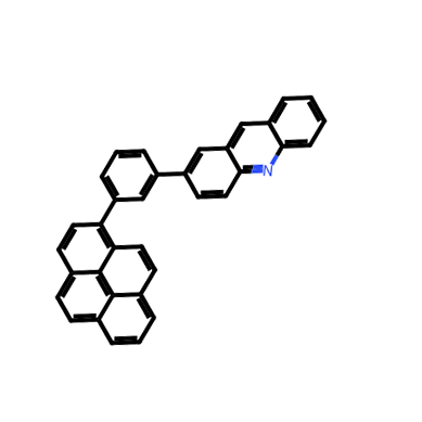 c1cc(-c2ccc3nc4ccccc4cc3c2)cc(-c2ccc3ccc4cccc5ccc2c3c45)c1